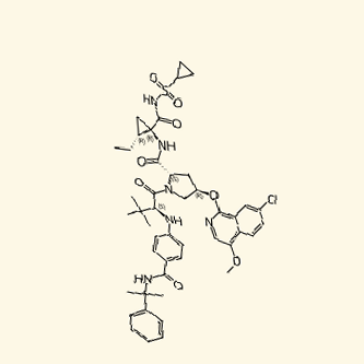 CC[C@@H]1C[C@]1(NC(=O)[C@@H]1C[C@@H](Oc2ncc(OC)c3ccc(Cl)cc23)CN1C(=O)[C@@H](Nc1ccc(C(=O)NC(C)(C)c2ccccc2)cc1)C(C)(C)C)C(=O)NS(=O)(=O)C1CC1